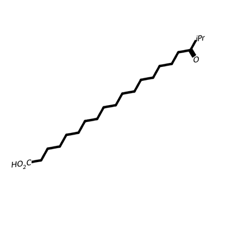 CC(C)C(=O)CCCCCCCCCCCCCCCCC(=O)O